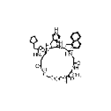 C[C@@H]1NC(=O)CNC(=O)[C@@H](Cc2cccc3ccccc23)NC(=O)[C@H](Cc2c[nH]cn2)NC(=O)[C@@H](NC(=O)CC2CCCC2)CC(=O)NCCCCCNC1=O